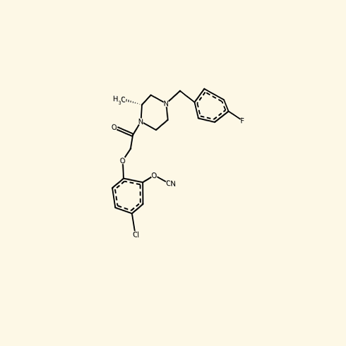 C[C@@H]1CN(Cc2ccc(F)cc2)CCN1C(=O)COc1ccc(Cl)cc1OC#N